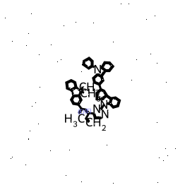 C=C/C(=C\C(=C/C)c1ccc2c(c1)C(C)(C)c1ccccc1-2)c1ccnc(-n2c3ccccc3c3cc(-c4ccc5c(c4)c4ccccc4n5-c4ccccc4)ccc32)n1